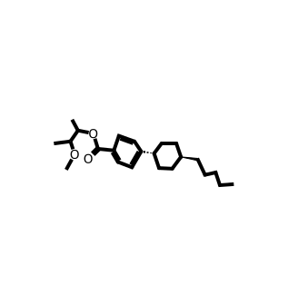 CCCCC[C@H]1CC[C@H](c2ccc(C(=O)OC(C)C(C)OC)cc2)CC1